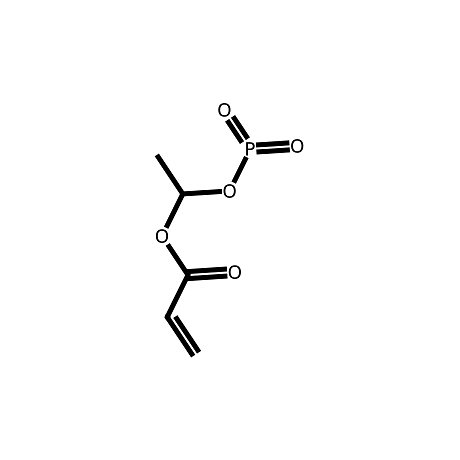 C=CC(=O)OC(C)OP(=O)=O